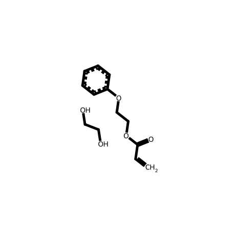 C=CC(=O)OCCOc1ccccc1.OCCO